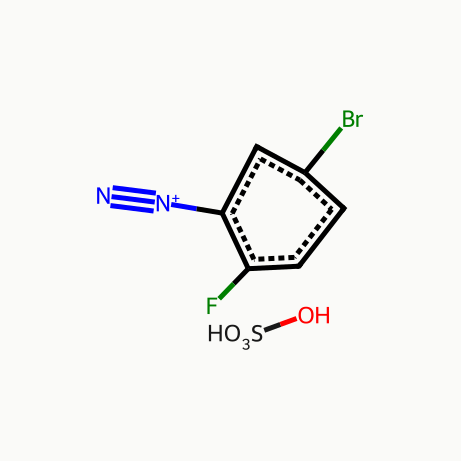 N#[N+]c1cc(Br)ccc1F.O=S(=O)(O)O